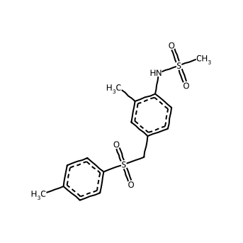 Cc1ccc(S(=O)(=O)Cc2ccc(NS(C)(=O)=O)c(C)c2)cc1